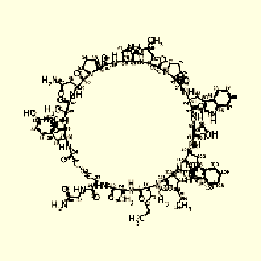 CCCC[C@H]1C(=O)N[C@@H](C)C(=O)NC(C(=O)NCC(N)=O)CSCC(=O)N[C@@H](Cc2ccc(O)cc2)C(=O)N(C)[C@@H](C)C(=O)N[C@@H](CC(N)=O)C(=O)N2CCC[C@H]2C(=O)N[C@@H](CN)C(=O)N[C@@H](CC(C)C)C(=O)N2CCC[C@H]2C(=O)N[C@@H](Cc2c[nH]c3ccccc23)C(=O)N[C@@H](CO)C(=O)N[C@@H](Cc2c[nH]c3ccccc23)C(=O)N(C)[C@@H](CCSC)C(=O)N1C